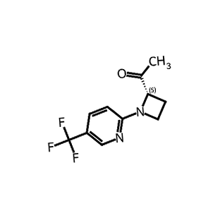 CC(=O)[C@@H]1CCN1c1ccc(C(F)(F)F)cn1